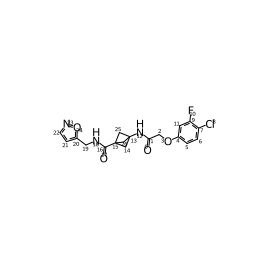 O=C(COc1ccc(Cl)c(F)c1)NC12CC(C(=O)NCc3ccno3)(C1)C2